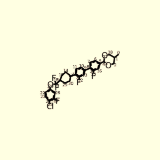 CC1COC(c2ccc(-c3ccc(C4CCC(C(F)(F)Oc5ccc(Cl)c(F)c5)CC4)c(F)c3)c(F)c2)OC1